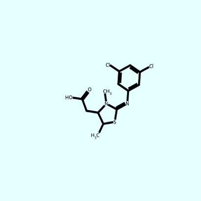 CC1SC(=Nc2cc(Cl)cc(Cl)c2)N(C)C1CC(=O)O